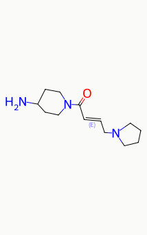 NC1CCN(C(=O)/C=C/CN2CCCC2)CC1